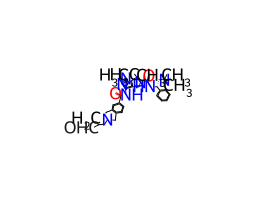 C=C(C=O)CN1Cc2ccc(C(=O)Nc3nn(C)c4c3CN(C(=O)N[C@H](CN(C)C)c3ccccc3)C4(C)C)cc2C1